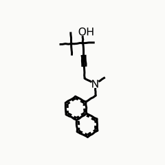 CN(CC#CC(C)(O)C(C)(C)C)Cc1cccc2ccccc12